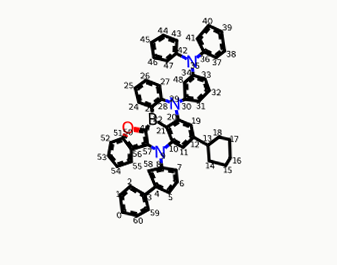 c1ccc(-c2cccc(N3c4cc(C5CCCCC5)cc5c4B(c4ccccc4N5c4cccc(N(c5ccccc5)c5ccccc5)c4)c4oc5ccccc5c43)c2)cc1